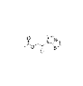 CC(=O)OCC(=O)c1ncn2ccsc12